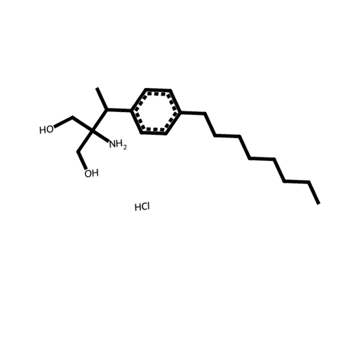 CCCCCCCCc1ccc(C(C)C(N)(CO)CO)cc1.Cl